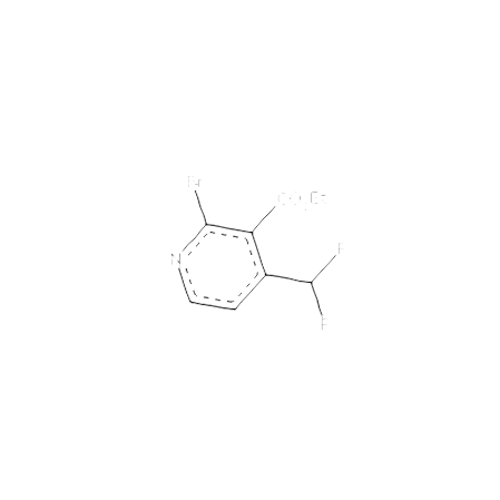 CCOC(=O)c1c(C(F)F)ccnc1Br